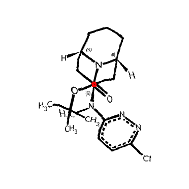 CN(c1ccc(Cl)nn1)[C@@H]1C[C@H]2CCC[C@@H](C1)N2C(=O)OC(C)(C)C